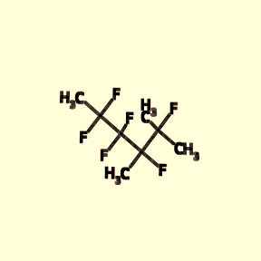 CC(C)(F)C(C)(F)C(F)(F)C(C)(F)F